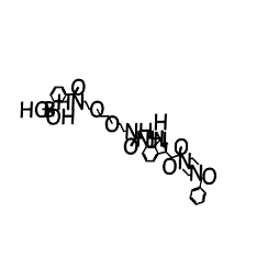 O=C(NCCOCCOCCNC(=O)c1cccc(B(O)O)c1)Nc1cccc2c(C(=O)C(=O)N3CCN(C(=O)c4ccccc4)CC3)c[nH]c12